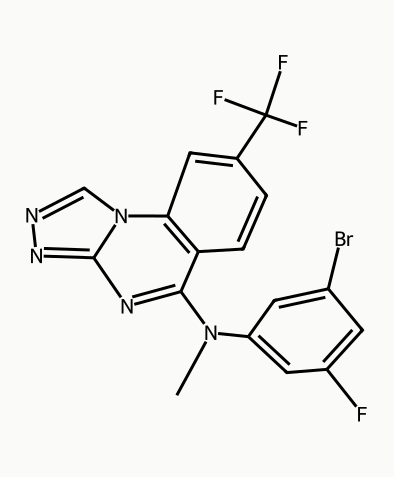 CN(c1cc(F)cc(Br)c1)c1nc2nncn2c2cc(C(F)(F)F)ccc12